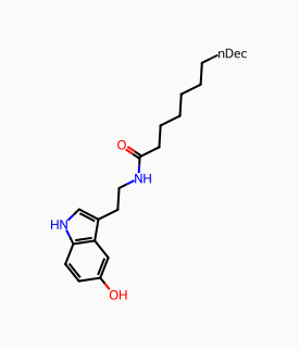 CCCCCCCCCCCCCCCCC(=O)NCCc1c[nH]c2ccc(O)cc12